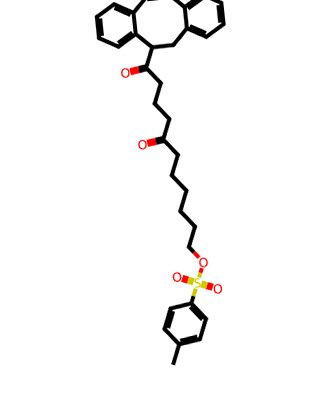 Cc1ccc(S(=O)(=O)OCCCCCCC(=O)CCCC(=O)C2Cc3ccccc3C#Cc3ccccc32)cc1